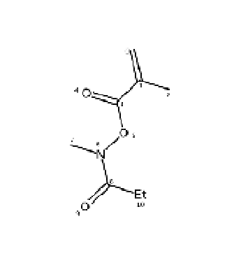 C=C(C)C(=O)ON(C)C(=O)CC